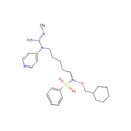 N#CN=C(N)N(CCCCCN(OCC1CCCCC1)S(=O)(=O)c1ccccc1)c1ccncc1